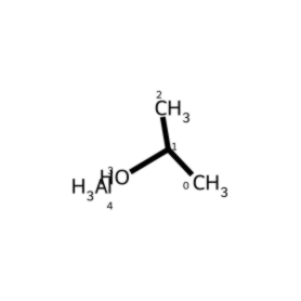 CC(C)O.[AlH3]